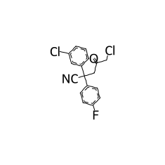 N#CC(CC(=O)CCl)(c1ccc(F)cc1)c1cccc(Cl)c1